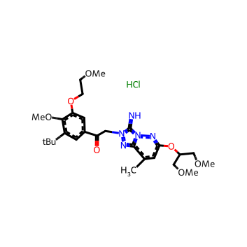 COCCOc1cc(C(=O)Cn2nc3c(C)cc(OC(COC)COC)nn3c2=N)cc(C(C)(C)C)c1OC.Cl